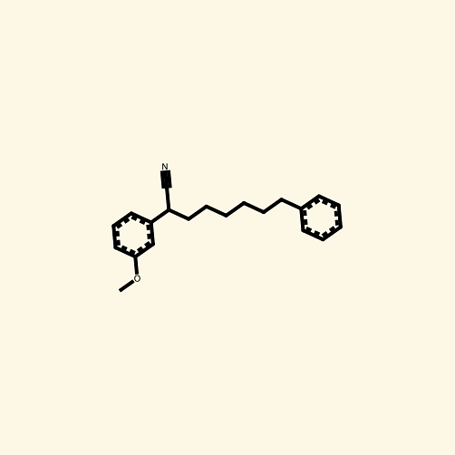 COc1cccc(C(C#N)CCCCCCc2ccccc2)c1